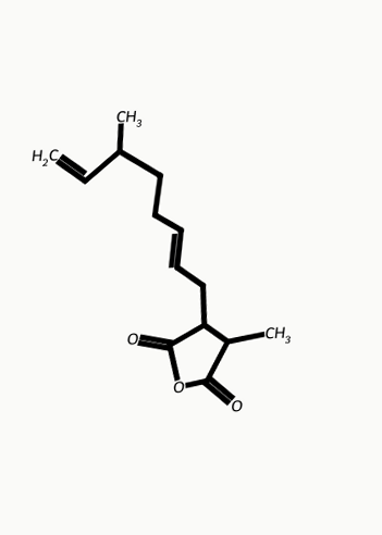 C=CC(C)CCC=CCC1C(=O)OC(=O)C1C